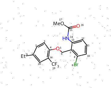 CCc1ccc(OCc2c(Br)cccc2NC(=O)OC)c(C(F)(F)F)c1